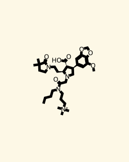 CCCCN(CCC[N+](C)(C)C)C(=O)CN1C[C@H](c2cc(OC)c3c(c2)OCO3)[C@@H](C(=O)O)[C@@H]1CCN1CCC(C)(C)C1=O